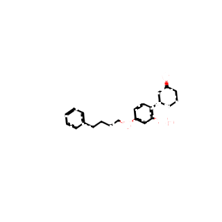 O=C1CCCC(c2ccc(OCCCCc3ccccc3)cc2O)C1